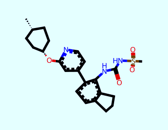 CS(=O)(=O)NC(=O)Nc1c(-c2ccnc(O[C@H]3CC[C@@H](C)CC3)c2)ccc2c1CCC2